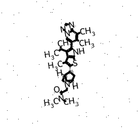 Cc1c(-c2[nH]c3sc([C@@H]4C[C@@H]5C[C@H]4CN5CC(=O)N(C)C)c(C)c3c2C(C)C)cn2ncnc2c1C